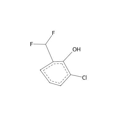 Oc1c(Cl)cccc1C(F)F